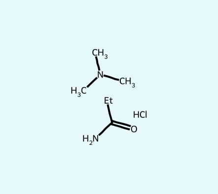 CCC(N)=O.CN(C)C.Cl